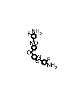 Nc1ccc(-c2nc3cc(C(=O)c4ccc5oc(-c6ccc(N)c(F)c6)nc5c4)ccc3o2)cc1F